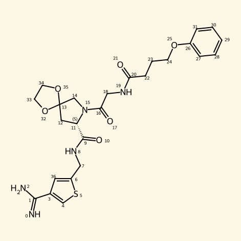 N=C(N)c1csc(CNC(=O)[C@@H]2CC3(CN2C(=O)CNC(=O)CCCOc2ccccc2)OCCO3)c1